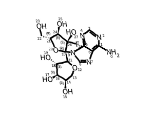 Nc1ncnc2c1ncn2[C@]1(C2OC[C@@H](O)[C@@H](O)[C@@H]2O)O[C@H](CO)[C@@H](O)[C@]1(O)F